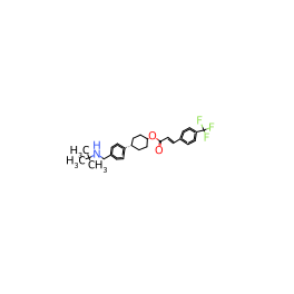 CC(C)(C)NCc1ccc([C@H]2CC[C@H](OC(=O)C=Cc3ccc(C(F)(F)F)cc3)CC2)cc1